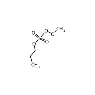 CCCOS(=O)(=O)OOC